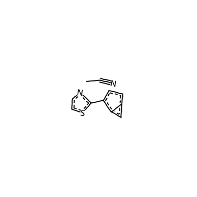 CC#N.c1csc(-c2ccc3cc2-3)n1